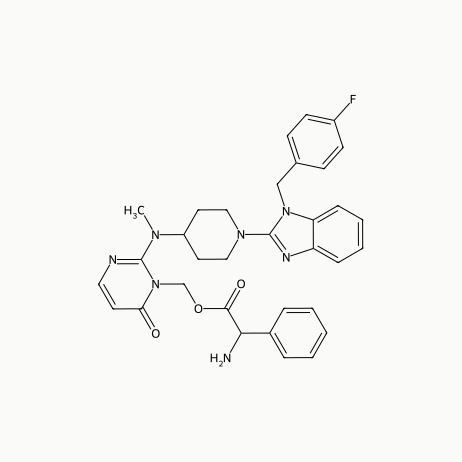 CN(c1nccc(=O)n1COC(=O)C(N)c1ccccc1)C1CCN(c2nc3ccccc3n2Cc2ccc(F)cc2)CC1